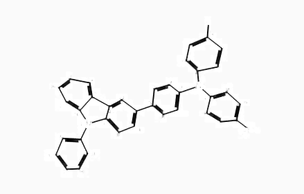 CCc1ccc(N(c2ccc(C)cc2)c2ccc(-c3ccc4c(c3)c3ccccc3n4-c3ccccc3)cc2)cc1